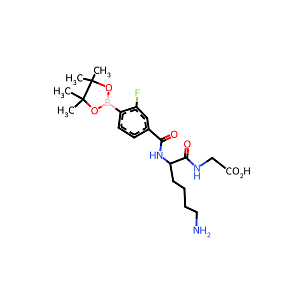 CC1(C)OB(c2ccc(C(=O)NC(CCCCN)C(=O)NCC(=O)O)cc2F)OC1(C)C